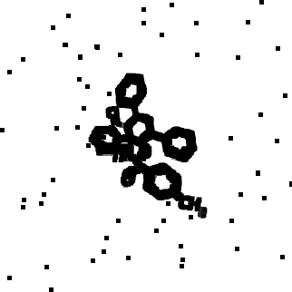 Cc1ccc(S(=O)(=O)N[C@@]2(c3ccccc3)C=C(c3ccccc3)C[C@H](c3ccccc3)[C@H]2C=O)cc1